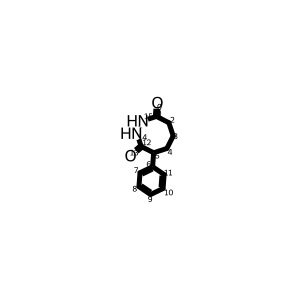 O=C1CCCC(c2ccccc2)C(=O)NN1